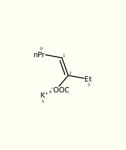 CCCC=C(CC)C(=O)[O-].[K+]